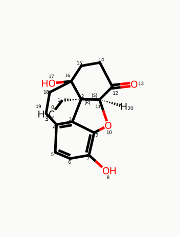 CC[C@@]12c3c4ccc(O)c3O[C@@H]1C(=O)CCC2(O)CC4